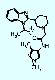 Cc1nn(C)cc1NC(=O)CN1CCCC(c2nc3ccccc3n2C(C)C)C1